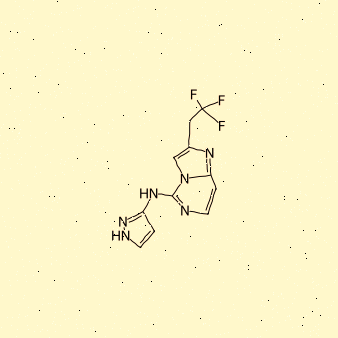 FC(F)(F)Cc1cn2c(Nc3cc[nH]n3)nccc2n1